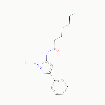 Cn1nc(-c2ccccc2)cc1NC(=O)CCCCCBr